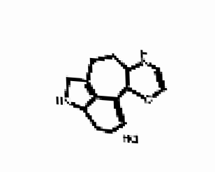 C1=COC2C3=CCCC4NCC(=C34)CCC2N1.Cl